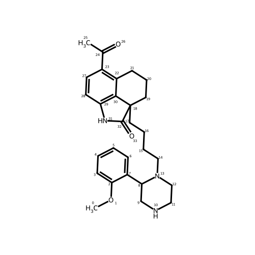 COc1ccccc1C1CNCCN1CCCCC12CCCc3c(C(C)=O)ccc(c31)NC2=O